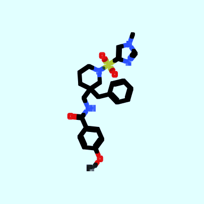 CC(C)Oc1ccc(C(=O)NCC2(Cc3ccccc3)CCCN(S(=O)(=O)c3cn(C)cn3)C2)cc1